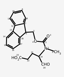 CN(C(=O)OCC1c2ccccc2-c2ccccc21)C(C=O)CCC(=O)O